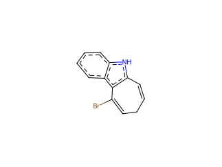 BrC1=CCC=Cc2[nH]c3ccccc3c21